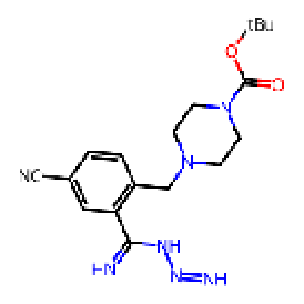 CC(C)(C)OC(=O)N1CCN(Cc2ccc(C#N)cc2C(=N)NN=N)CC1